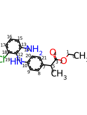 CCOC(=O)C(C)c1ccc(Nc2c(N)cccc2Cl)cc1